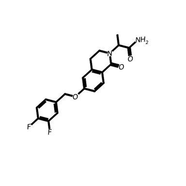 CC(C(N)=O)N1CCc2cc(OCc3ccc(F)c(F)c3)ccc2C1=O